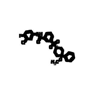 COC1(c2ccccc2)CCN(S(=O)(=O)c2cccc(C(=O)Nc3ccc(F)c(Cl)c3)c2)CC1